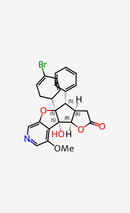 COc1cncc2c1[C@]1(O)[C@@H]3OC(=O)C[C@@H]3[C@@H](c3ccccc3)[C@]1(C1C=CC(Br)=CC1)O2